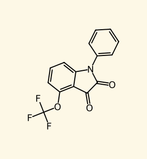 O=C1C(=O)N(c2ccccc2)c2cccc(OC(F)(F)F)c21